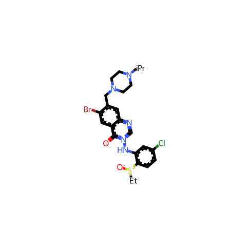 CC[S+]([O-])c1ccc(Cl)cc1Nn1cnc2cc(CN3CCN(C(C)C)CC3)c(Br)cc2c1=O